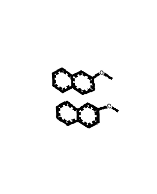 COc1[c]c2ccccc2cc1.COc1[c]c2ccccc2cc1